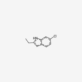 CCc1cc2ccc(Cl)cc2[nH]1